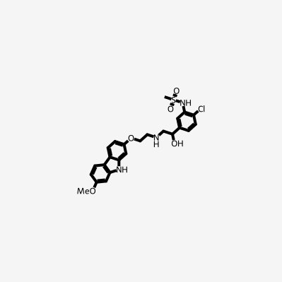 COc1ccc2c(c1)[nH]c1cc(OCCNCC(O)c3ccc(Cl)c(NS(C)(=O)=O)c3)ccc12